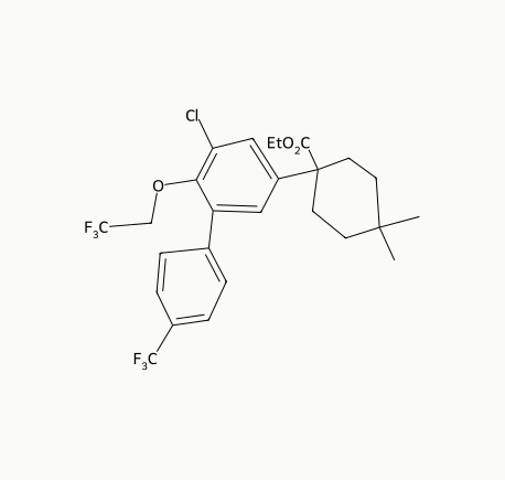 CCOC(=O)C1(c2cc(Cl)c(OCC(F)(F)F)c(-c3ccc(C(F)(F)F)cc3)c2)CCC(C)(C)CC1